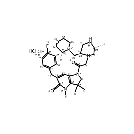 C[C@@H]1CN(CC(=O)N2CC(C)(C)c3c2cc(Cc2ccc(F)cc2)c(=O)n3C)[C@@H](CN2CCOC[C@H]2C)CN1.Cl.Cl